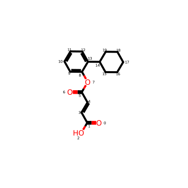 O=C(O)C=CC(=O)Oc1ccccc1C1CCCCC1